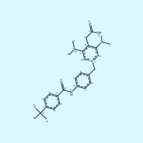 CN(C)c1n[13c](Cc2ccc(NC(=O)c3ccc(C(C)(F)F)cc3)cc2)nc(N(C)C)c1CC(=O)O